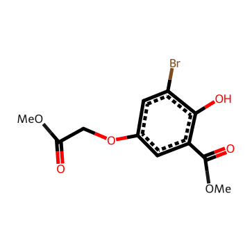 COC(=O)COc1cc(Br)c(O)c(C(=O)OC)c1